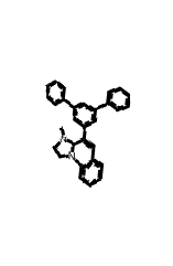 CN1CCN2c3ccccc3C=C(c3cc(-c4ccccc4)cc(-c4ccccc4)c3)C12